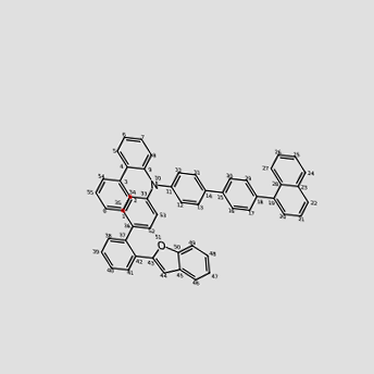 c1ccc(-c2ccccc2N(c2ccc(-c3ccc(-c4cccc5ccccc45)cc3)cc2)c2ccc(-c3ccccc3-c3cc4ccccc4o3)cc2)cc1